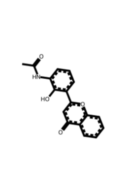 CC(=O)Nc1cccc(-c2cc(=O)c3ccccc3o2)c1O